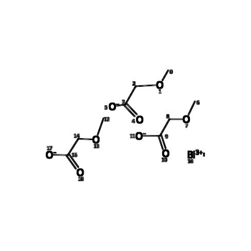 COCC(=O)[O-].COCC(=O)[O-].COCC(=O)[O-].[Bi+3]